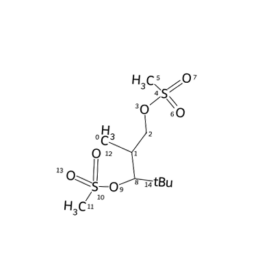 CC(COS(C)(=O)=O)C(OS(C)(=O)=O)C(C)(C)C